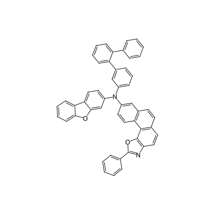 c1ccc(-c2nc3ccc4ccc5cc(N(c6cccc(-c7ccccc7-c7ccccc7)c6)c6ccc7c(c6)oc6ccccc67)ccc5c4c3o2)cc1